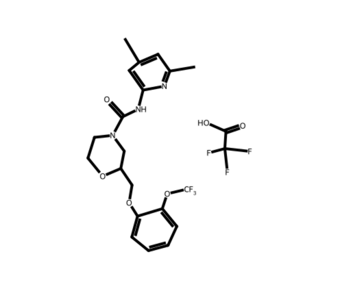 Cc1cc(C)nc(NC(=O)N2CCOC(COc3ccccc3OC(F)(F)F)C2)c1.O=C(O)C(F)(F)F